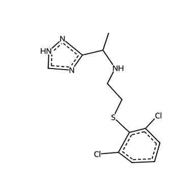 CC(NCCSc1c(Cl)cccc1Cl)c1nc[nH]n1